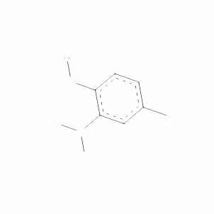 CCCCOc1ccc(C)cc1B(O)O